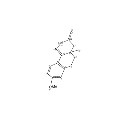 COc1ccc2c(c1)CCC1(C)CC(=O)NN=C21